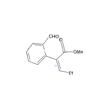 CC/C=C(\C(=O)OC)c1ccccc1C=O